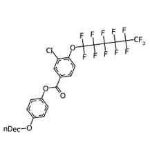 CCCCCCCCCCOc1ccc(OC(=O)c2ccc(OC(F)(F)C(F)(F)C(F)(F)C(F)(F)C(F)(F)C(F)(F)F)c(Cl)c2)cc1